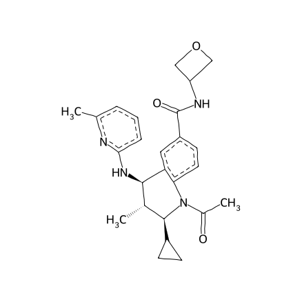 CC(=O)N1c2ccc(C(=O)NC3COC3)cc2[C@H](Nc2cccc(C)n2)[C@@H](C)[C@@H]1C1CC1